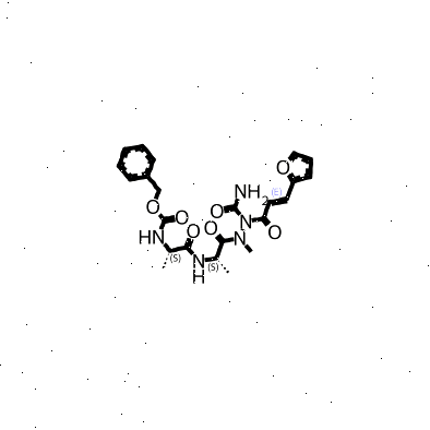 C[C@H](NC(=O)OCc1ccccc1)C(=O)N[C@@H](C)C(=O)N(C)N(C(N)=O)C(=O)/C=C/c1ccco1